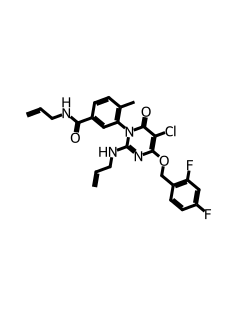 C=CCNC(=O)c1ccc(C)c(-n2c(NCC=C)nc(OCc3ccc(F)cc3F)c(Cl)c2=O)c1